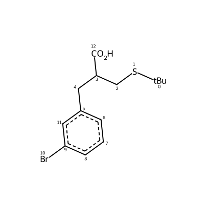 CC(C)(C)SCC(Cc1cccc(Br)c1)C(=O)O